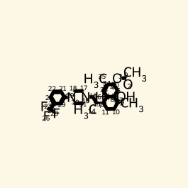 CC(=O)O[C@@H]1[CH][C@@]2(O)[C@H](C)CC[C@@H](C(C)CN3CCN(c4cccc(C(F)(F)F)c4)CC3)[C@H]2C=C1C